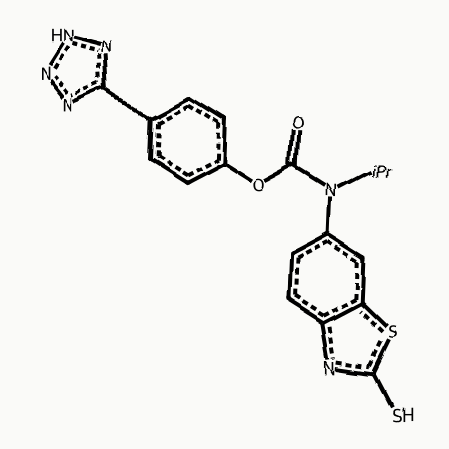 CC(C)N(C(=O)Oc1ccc(-c2nn[nH]n2)cc1)c1ccc2nc(S)sc2c1